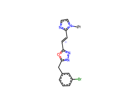 CC(C)n1ccnc1/C=C/c1nnc(Cc2cccc(Br)c2)o1